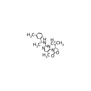 Cc1cccc([C@H](C)Nc2ncc(C)c(N3C(=O)OC[C@@H]3C(C)C)n2)c1